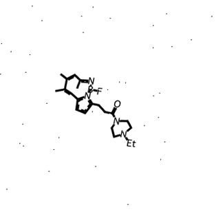 CCN1CCN(C(=O)CCc2ccc3n2B(F)/N=C(C)/C=C(C)\C(C)=C\3)CC1